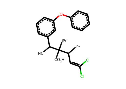 CC(C)C(C=C(Cl)Cl)C(C(=O)O)(C(C)C)C(C#N)c1cccc(Oc2ccccc2)c1